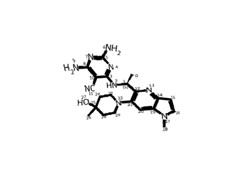 C[C@H](Nc1nc(N)nc(N)c1C#N)c1nc2ccn(C)c2cc1N1CCC(C)(O)CC1